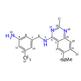 CNc1cc2c(NCc3cc(N)cc(C(F)(F)F)c3)nc(C)nc2cc1C